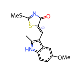 COc1ccc2[nH]c(C)c(/C=C3\SC(SC)=NC3=O)c2c1